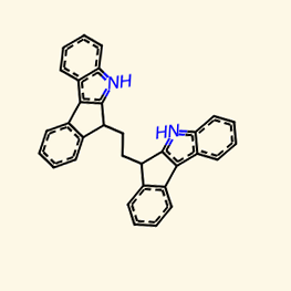 c1ccc2c(c1)-c1c([nH]c3ccccc13)C2CCC1c2ccccc2-c2c1[nH]c1ccccc21